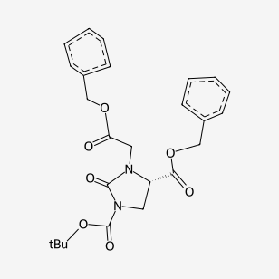 CC(C)(C)OC(=O)N1C[C@@H](C(=O)OCc2ccccc2)N(CC(=O)OCc2ccccc2)C1=O